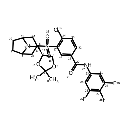 CC1(C)OC[C@H](CN2C3CCC2CC(S(=O)(=O)c2cc(C(=O)Nc4cc(F)c(F)c(F)c4)ccc2Cl)C3)O1